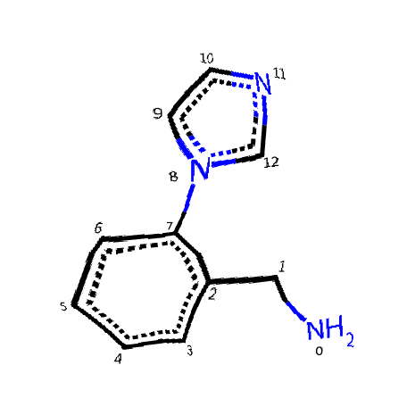 NCc1ccccc1-n1ccnc1